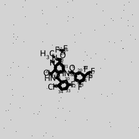 Cn1nc2c3c(c(NC(=O)c4cc(F)cc(C(F)(F)F)c4)cc2c1OC(F)F)C(c1cc(F)ccc1Cl)NC3=O